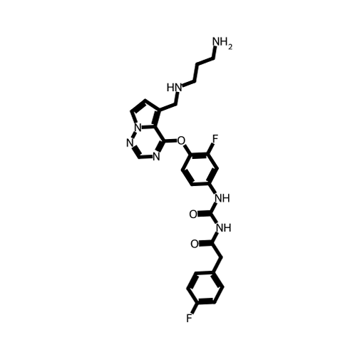 NCCCNCc1ccn2ncnc(Oc3ccc(NC(=O)NC(=O)Cc4ccc(F)cc4)cc3F)c12